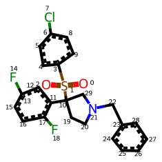 O=S(=O)(c1ccc(Cl)cc1)C1(c2cc(F)ccc2F)CCN(Cc2ccccc2)C1